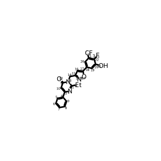 CCc1nc(-c2ccccc2)cc(=O)n1Cc1cc(-c2cc(O)c(F)c(C(F)(F)F)c2)on1